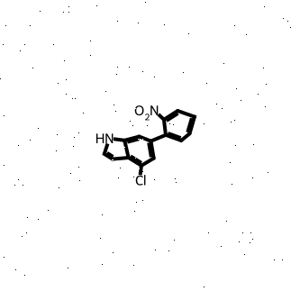 O=[N+]([O-])c1ccccc1-c1cc(Cl)c2cc[nH]c2c1